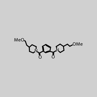 COCCC1CCN(C(=O)c2cccc(C(=O)N3CCC(CCOC)CC3)c2)CC1